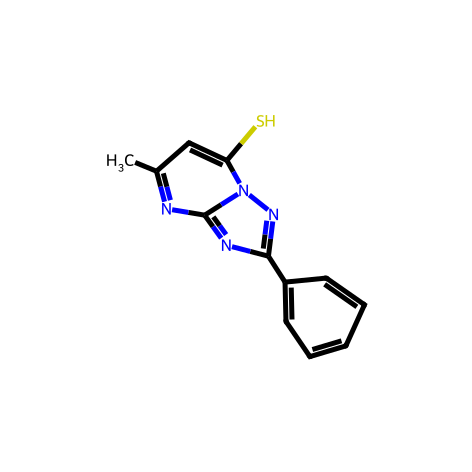 Cc1cc(S)n2nc(-c3ccccc3)nc2n1